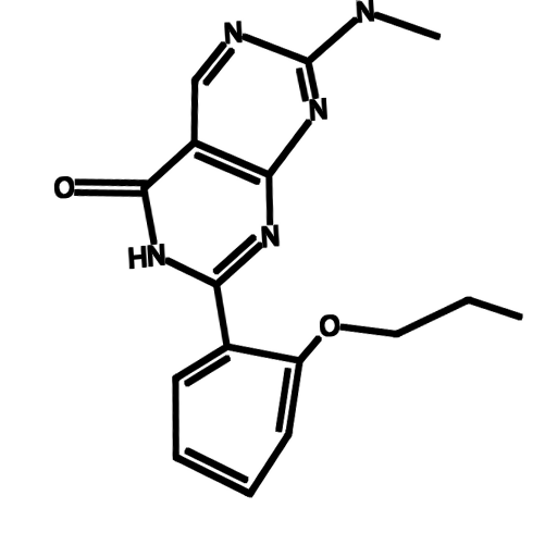 CCCOc1ccccc1-c1nc2nc(NC)ncc2c(=O)[nH]1